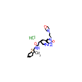 Cc1c(CNC(=O)/C=C/c2cnc3c(c2)CN(CCCN2CCOCC2)C(=O)N3)sc2ccccc12.Cl